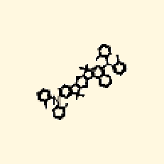 Cc1ccccc1C(c1ccccc1C)c1cc2c(c3ccccc13)-c1cc3c(cc1C2(C)C)-c1ccc(N(c2ccccc2C)c2ccccc2C)cc1C3(C)C